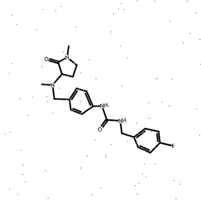 CN1CCC(N(C)Cc2ccc(NC(=O)NCc3ccc(F)cc3)cc2)C1=O